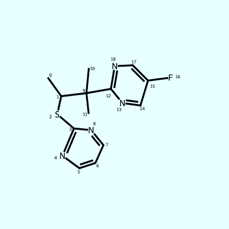 CC(Sc1ncccn1)C(C)(C)c1ncc(F)cn1